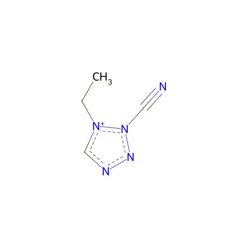 CC[n+]1cnnn1C#N